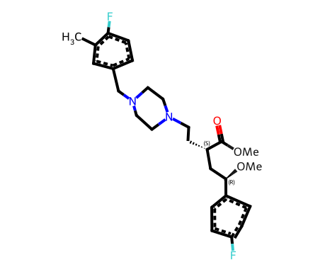 COC(=O)[C@@H](CCN1CCN(Cc2ccc(F)c(C)c2)CC1)C[C@@H](OC)c1ccc(F)cc1